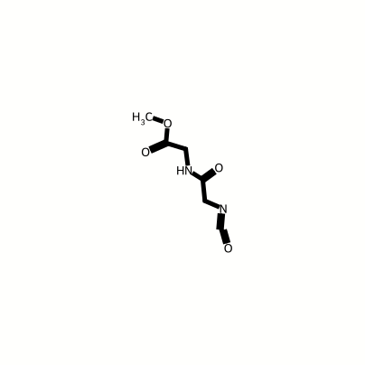 COC(=O)CNC(=O)CN=C=O